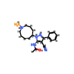 CC(=O)Nc1c(C#N)c(-c2ccccc2)nn1C1CCCCN(P)CCC1